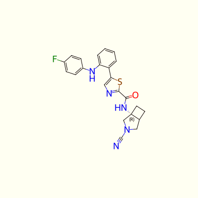 N#CN1CC2CC[C@]2(NC(=O)c2ncc(-c3ccccc3Nc3ccc(F)cc3)s2)C1